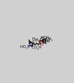 CC1(C)[C@@H]2CC3OB(CCC[C@]4(C)C5CC5N(C(=O)O)[C@@H]4C(=O)O)O[C@@]3(C)[C@H]1C2